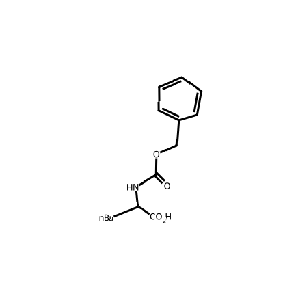 CCCCC(NC(=O)OCc1ccccc1)C(=O)O